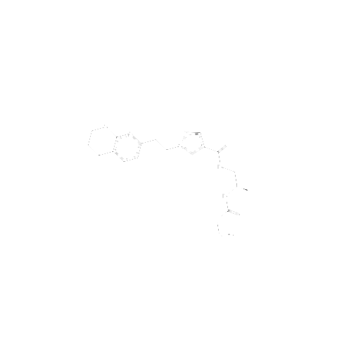 CCCCCCOC(=O)N[C@@H](CNC(=O)c1cnn(CCc2ccc3c(n2)NCCC3)c1)C(=O)O